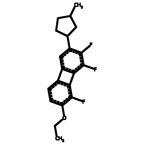 CCOc1ccc2c(c1F)-c1c-2cc(C2CCC(C)C2)c(F)c1F